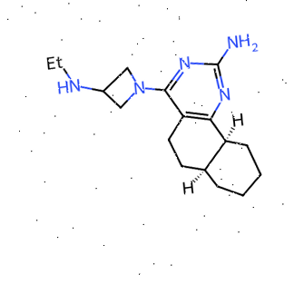 CCNC1CN(c2nc(N)nc3c2CC[C@@H]2CCCC[C@H]32)C1